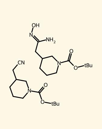 CC(C)(C)OC(=O)N1CCCC(C/C(N)=N/O)C1.CC(C)(C)OC(=O)N1CCCC(CC#N)C1